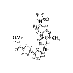 COCCC(=O)N1CCN(c2cncc(Nc3cc4c(cn3)-c3cc(F)c(N5CCCC5=O)cc3OC4C)c2)CC1